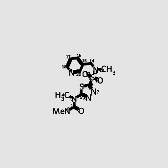 CNC(=O)N(C)c1nnc(S(=O)(=O)N(C)Cc2cccnc2)s1